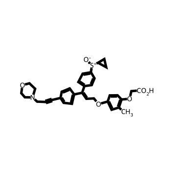 Cc1cc(OCC=C(c2ccc(C#CCN3CCOCC3)cc2)c2ccc([S+]([O-])C3CC3)cc2)ccc1OCC(=O)O